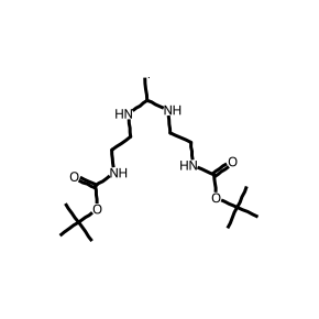 [CH2]C(NCCNC(=O)OC(C)(C)C)NCCNC(=O)OC(C)(C)C